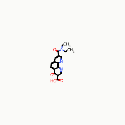 CCN(CC)C(=O)c1cnc2c3c(ccc2c1)C(=O)C(C(=O)O)C=N3